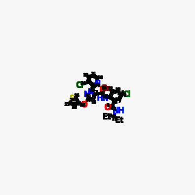 CCC(CC)NC(=O)c1cc(Cl)cc(Br)c1NC(=O)c1cc(Oc2ccsc2)nn1-c1ncccc1Cl